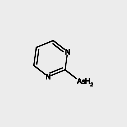 [AsH2]c1ncccn1